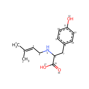 CC(C)=CCNC(Cc1ccc(O)cc1)C(=O)O